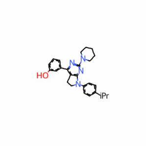 CC(C)c1ccc(N2CCc3c(-c4cccc(O)c4)nc(N4CCCCC4)nc32)cc1